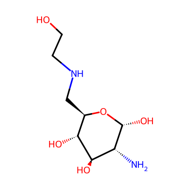 N[C@@H]1[C@@H](O)[C@H](O)[C@@H](CNCCO)O[C@@H]1O